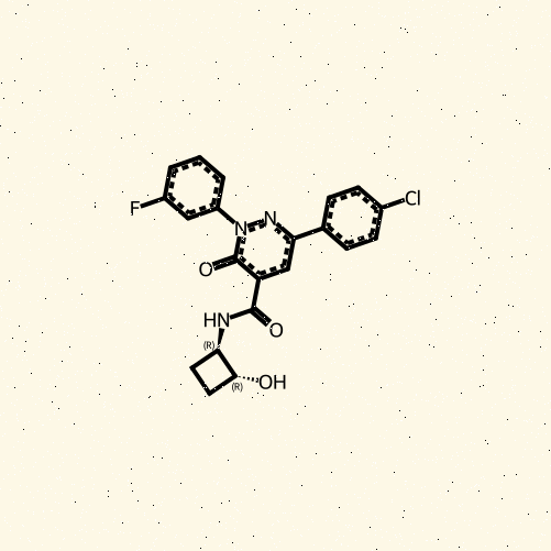 O=C(N[C@@H]1CC[C@H]1O)c1cc(-c2ccc(Cl)cc2)nn(-c2cccc(F)c2)c1=O